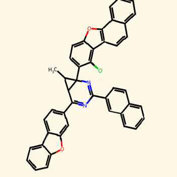 CC1C2C(c3ccc4c(c3)oc3ccccc34)=NC(c3ccc4ccccc4c3)=NC12c1ccc2oc3c4ccccc4ccc3c2c1Cl